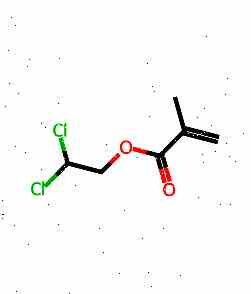 C=C(C)C(=O)OCC(Cl)Cl